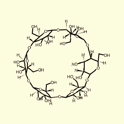 OC[C@H]1OC2O[C@H]3[C@H](O)[C@@H](O)C(O[C@H]4[C@H](O)[C@@H](O)C(O[C@H]5[C@H](O)[C@@H](O)C(O[C@H]6[C@H](O)[C@@H](O)C(O[C@H]7[C@H](O)[C@@H](O)C(O[C@H]1[C@H](O)[C@H]2O)O[C@@H]7CO)O[C@@H]6CO)O[C@@H]5CO)O[C@@H]4CO)O[C@@H]3CO